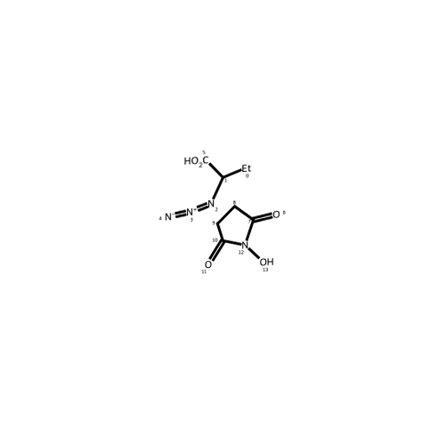 CCC(N=[N+]=[N-])C(=O)O.O=C1CCC(=O)N1O